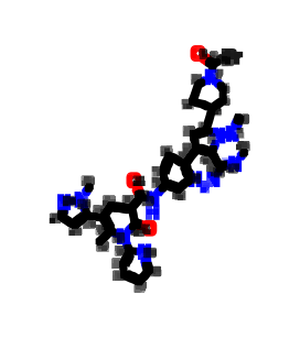 C=Nn1c(C2CCN(C(=O)C(C)C)CC2)cc(-c2ccc(NC(=O)c3cc(-c4ccnn4C)c(C)n(-c4ccccn4)c3=O)cc2)c1/C(N)=N\C